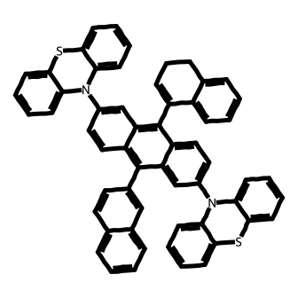 C1=C(c2c3cc(N4c5ccccc5Sc5ccccc54)ccc3c(-c3ccc4ccccc4c3)c3cc(N4c5ccccc5Sc5ccccc54)ccc23)c2ccccc2CC1